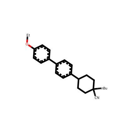 CCCCC1(C#N)CCC(c2ccc(-c3ccc(OCC)cc3)cc2)CC1